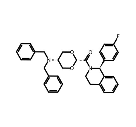 O=C([C@H]1OC[C@@H](N(Cc2ccccc2)Cc2ccccc2)CO1)N1CCc2ccccc2[C@@H]1c1ccc(F)cc1